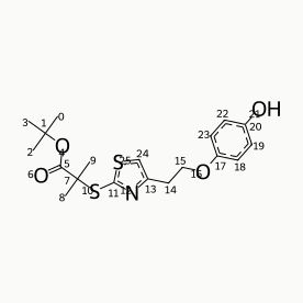 CC(C)(C)OC(=O)C(C)(C)Sc1nc(CCOc2ccc(O)cc2)cs1